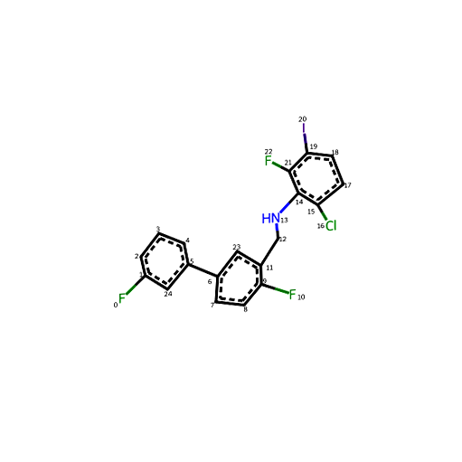 Fc1cccc(-c2ccc(F)c(CNc3c(Cl)ccc(I)c3F)c2)c1